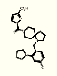 O=C(O)c1ccn(C(=O)N2CCC3(CCCN3Cc3ccc(Cl)cc3N3CCCC3)CC2)n1